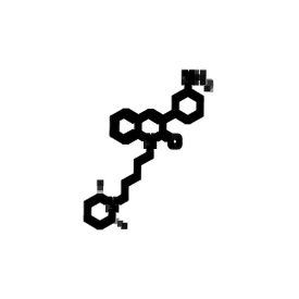 C[C@@H]1CCC[C@H](C)N1CCCCCn1c(=O)c(C2CCCC(N)C2)cc2ccccc21